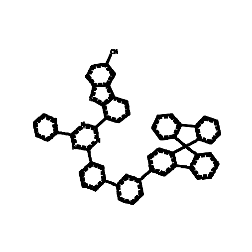 N#Cc1ccc2sc3c(-c4nc(-c5ccccc5)nc(-c5cccc(-c6cccc(-c7ccc8c(c7)-c7ccccc7C87c8ccccc8-c8ccccc87)c6)c5)n4)cccc3c2c1